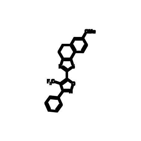 COc1ccc2c(c1)CCc1nc(-c3onc(-c4ccccc4)c3C(F)(F)F)sc1-2